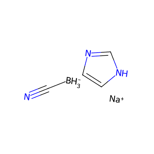 [BH3-]C#N.[Na+].c1c[nH]cn1